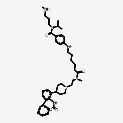 CNCCCN(C(=O)c1ccc(NCCCCCC(=O)N(C)CCN2CCC(c3cccc(-c4ccccc4)c3NC(=O)O)CC2)cc1)C(C)C